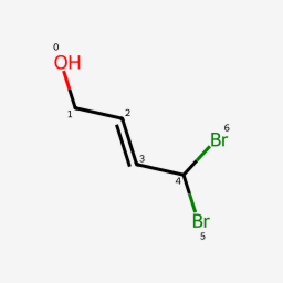 OCC=CC(Br)Br